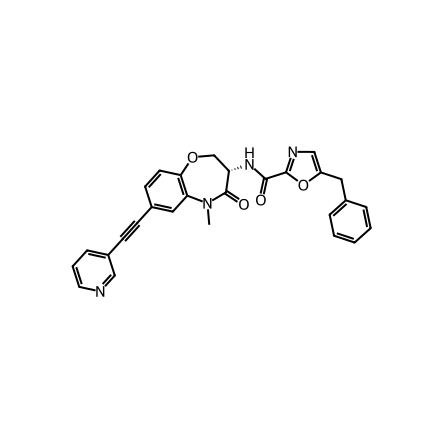 CN1C(=O)[C@@H](NC(=O)c2ncc(Cc3ccccc3)o2)COc2ccc(C#Cc3cccnc3)cc21